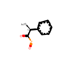 CC(=O)O[C@H](C(=O)P=O)c1ccccc1